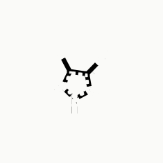 O=c1s[nH]sc1=O